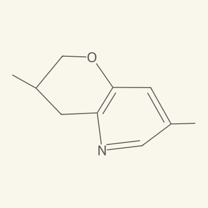 Cc1cnc2c(c1)OCC(C)C2